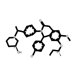 CC[C@@H](C)Oc1cc2c(cc1OC)CC(=O)N(c1ccc(C(C)N3CCC[C@H](O)C3)cc1)C2c1ccc(Cl)cc1